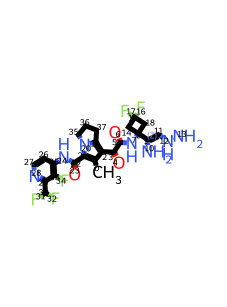 Cc1c(C(=O)C(=O)NC2(/C(N)=C/NN)CC(F)(F)C2)c2n(c1C(=O)Nc1ccnc(C(F)F)c1F)CCC2